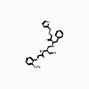 COc1ccccc1OCC(=O)NC(CNC(Cc1ccccc1)C(=O)CSCc1ccco1)CC(C)C